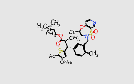 CC[C@@H]1CN(Cc2cc([C@H](c3cc(OC)c(C(C)=O)s3)[C@H](C)C(=O)OCC[Si](C)(C)C)ccc2C)S(=O)(=O)c2cnccc2O1